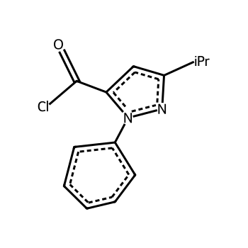 CC(C)c1cc(C(=O)Cl)n(-c2ccccc2)n1